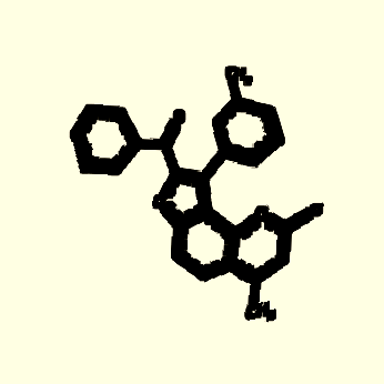 Cc1cccc(-c2c(C(=O)c3ccccc3)oc3ccc4c(C)cc(=O)oc4c23)c1